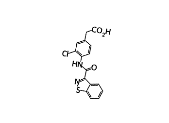 O=C(O)Cc1ccc(NC(=O)c2nsc3ccccc23)c(Cl)c1